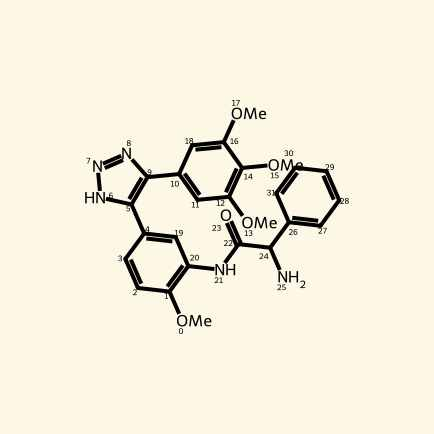 COc1ccc(-c2[nH]nnc2-c2cc(OC)c(OC)c(OC)c2)cc1NC(=O)C(N)c1ccccc1